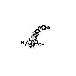 Cn1ccnc1CSC(C)(CNS(=O)(=O)c1ccc(Oc2ccc(Br)cc2)cc1)CC(=O)O